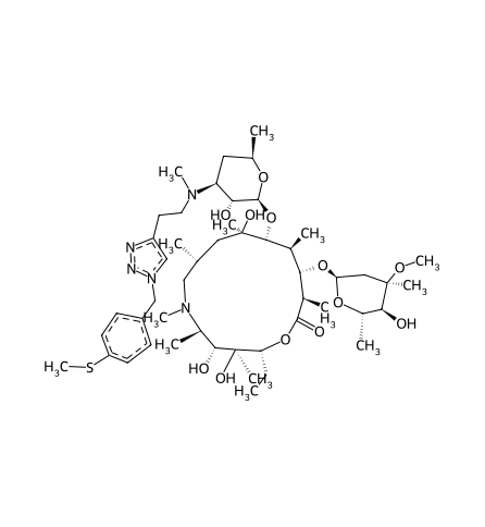 CC[C@H]1OC(=O)[C@H](C)[C@@H](O[C@H]2C[C@@](C)(OC)[C@@H](O)[C@H](C)O2)[C@H](C)[C@@H](O[C@@H]2O[C@H](C)C[C@H](N(C)CCc3cn(Cc4ccc(SC)cc4)nn3)[C@H]2O)[C@](C)(O)C[C@@H](C)CN(C)[C@H](C)[C@@H](O)[C@]1(C)O